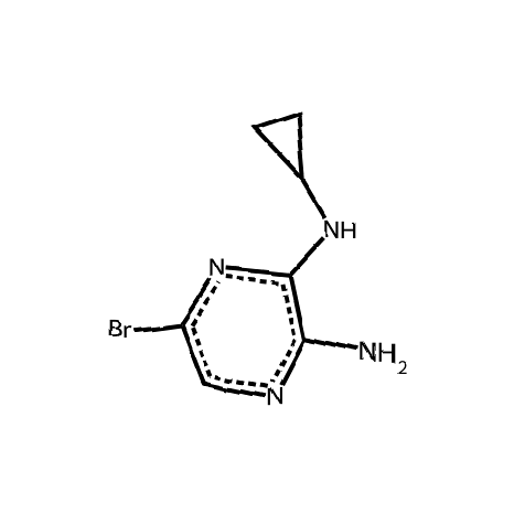 Nc1ncc(Br)nc1NC1CC1